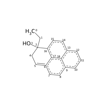 CCC1(O)CC=c2ccc3cccc4ccc1c2c43